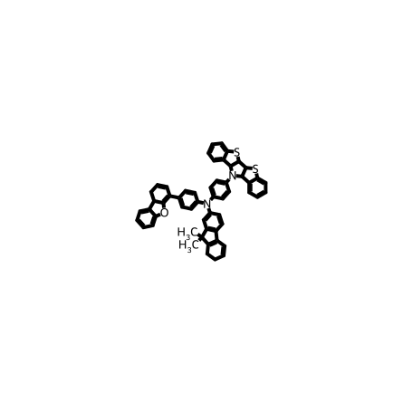 CC1(C)C2=C(C=CCC2)c2ccc(N(c3ccc(C4=C5Oc6ccccc6C5CC=C4)cc3)c3ccc(N4C5c6ccccc6SC5C5Sc6ccccc6C54)cc3)cc21